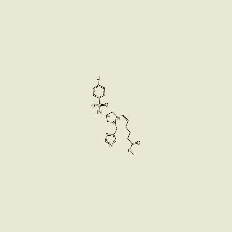 COC(=O)CCC/C=C\[C@@H]1C[C@@H](NS(=O)(=O)c2ccc(Cl)cc2)CN1Cc1cncs1